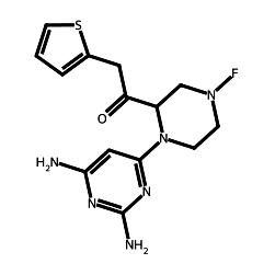 Nc1cc(N2CCN(F)CC2C(=O)Cc2cccs2)nc(N)n1